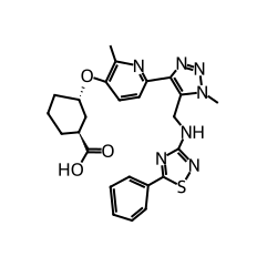 Cc1nc(-c2nnn(C)c2CNc2nsc(-c3ccccc3)n2)ccc1O[C@H]1CCC[C@H](C(=O)O)C1